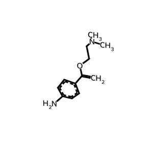 C=C(OCCN(C)C)c1ccc(N)cc1